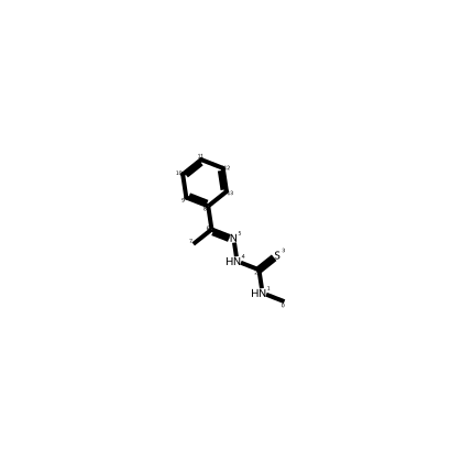 CNC(=S)NN=C(C)c1ccccc1